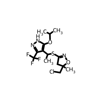 CC(C)Oc1[nH]nc(C(F)(F)F)c1C(C)SC1=NOC(C)(CCl)C1